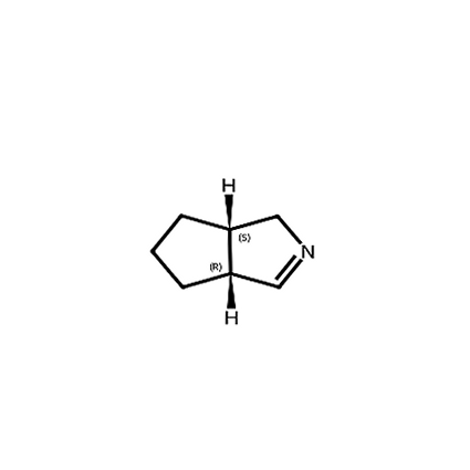 C1=NC[C@H]2CCC[C@@H]12